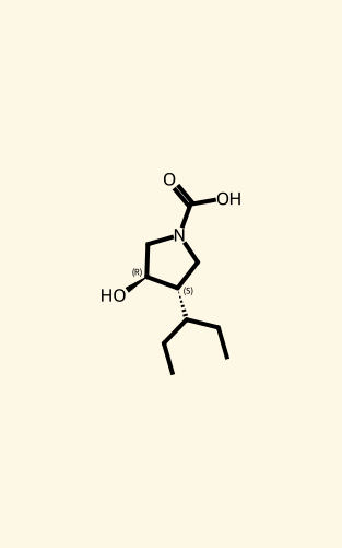 CCC(CC)[C@H]1CN(C(=O)O)C[C@@H]1O